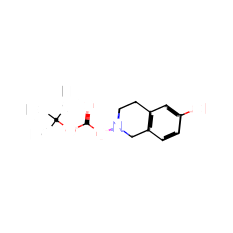 CC(C)(C)OC(=O)ON1CCc2cc(O)ccc2C1